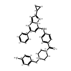 O=C(c1ccc(Nc2cc(-c3ccccc3)nc3cc(C4CC4)nn23)cc1)N1CCN(Cc2ccc(F)cc2)CC1